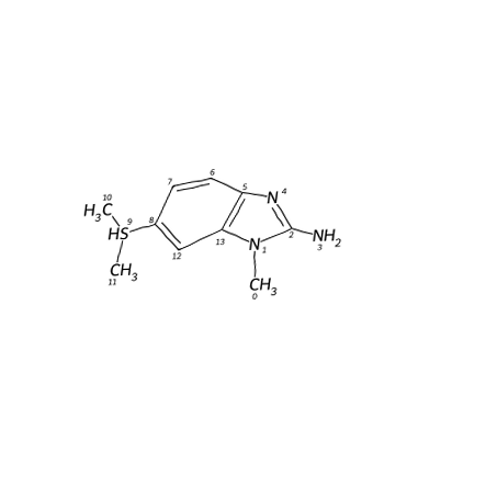 Cn1c(N)nc2ccc([SH](C)C)cc21